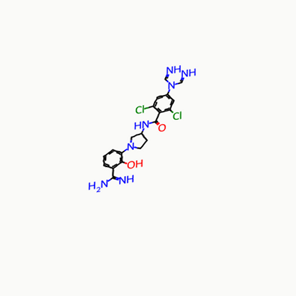 N=CN(C=N)c1cc(Cl)c(C(=O)NC2CCN(c3cccc(C(=N)N)c3O)C2)c(Cl)c1